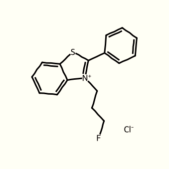 FCCC[n+]1c(-c2ccccc2)sc2ccccc21.[Cl-]